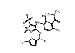 CC[C@@H](NC1=NS(=O)(=O)C(S(N)(=O)=O)=C1Nc1ccc(C(F)(F)F)c(C(=O)N(C)C)c1O)c1ccc(C)o1